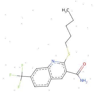 CCCCCSc1nc2cc(C(F)(F)F)ccc2cc1C(N)=O